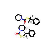 CC(C)(SC(=O)N1CCCCC1)c1ccccc1.Cc1ccccc1C(C)[C@@H]1CCCCN1C(=O)S